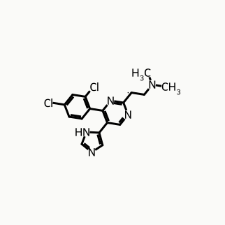 CN(C)C[CH]c1ncc(-c2cnc[nH]2)c(-c2ccc(Cl)cc2Cl)n1